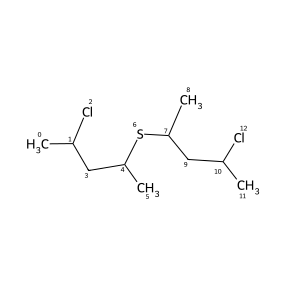 CC(Cl)CC(C)SC(C)CC(C)Cl